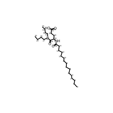 CCCCCCCCCCCCCCCC(=O)NC(CCC(=O)O)C(=O)N(CCCC)CCCC